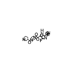 CN1CCCC(C(=O)N2CCN(C(=O)C(=O)c3c[nH]c4c(-n5ccnn5)ncc(F)c34)CC2)C1